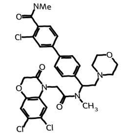 CNC(=O)c1ccc(-c2ccc(C(CN3CCOCC3)N(C)C(=O)CN3C(=O)COc4cc(Cl)c(Cl)cc43)cc2)cc1Cl